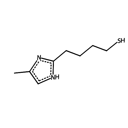 Cc1c[nH]c(CCCCS)n1